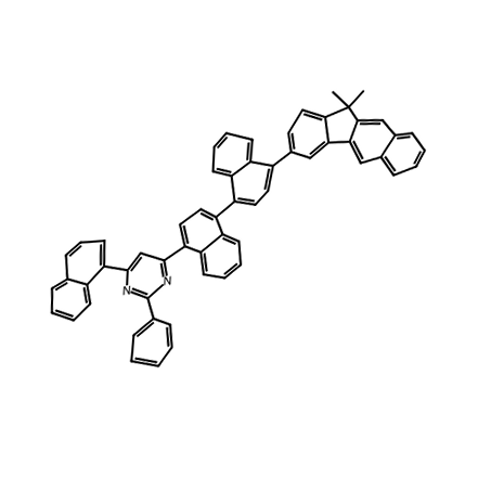 CC1(C)c2ccc(-c3ccc(-c4ccc(-c5cc(-c6cccc7ccccc67)nc(-c6ccccc6)n5)c5ccccc45)c4ccccc34)cc2-c2cc3ccccc3cc21